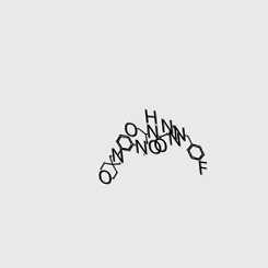 CN1C(=O)C(NC(=O)c2ncn(Cc3ccc(F)cc3)n2)COc2ccc(N3CC4(CCOCC4)C3)cc21